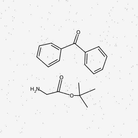 CC(C)(C)OC(=O)CN.O=C(c1ccccc1)c1ccccc1